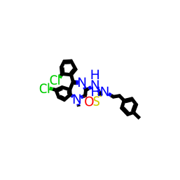 Cc1ccc(CCNC(=S)NC2N=C(c3ccccc3Cl)c3cc(Cl)ccc3N(C)C2=O)cc1